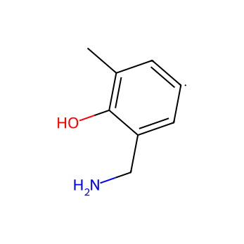 Cc1c[c]cc(CN)c1O